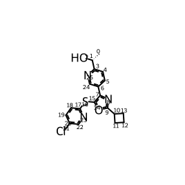 C[C@@H](O)c1ccc(-c2nc(C3CCC3)oc2Sc2ccc(Cl)cn2)cn1